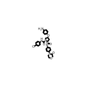 Nc1ccc(O[C@H]2C[C@H](C(=O)Nc3ccc(N4CCOCC4=O)cc3)N(C(=O)Nc3ccc(Cl)cc3)C2)cc1